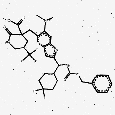 CN(C)c1cc2nc(C(NC(=O)OCc3ccccc3)C3CCC(F)(F)CC3)cn2nc1CC1(C(=O)O)C[C@@H](C(F)(F)F)CNC1=O